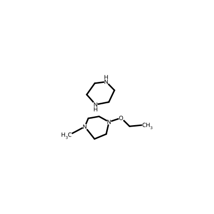 C1CNCCN1.CCON1CCN(C)CC1